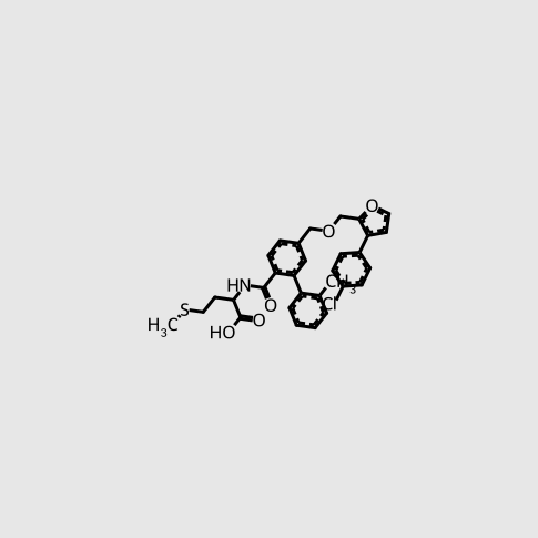 CSCCC(NC(=O)c1ccc(COCc2occc2-c2ccc(Cl)cc2)cc1-c1ccccc1C)C(=O)O